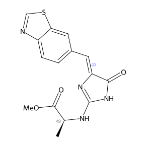 COC(=O)[C@H](C)NC1=N/C(=C\c2ccc3ncsc3c2)C(=O)N1